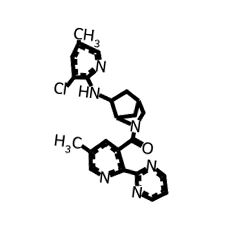 Cc1cnc(NC2CC3CC2N(C(=O)c2cc(C)cnc2-c2ncccn2)C3)c(Cl)c1